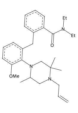 C=CCN1CC(C)N(c2c(Cc3ccccc3C(=O)N(CC)CC)cccc2OC)CC1(C)C